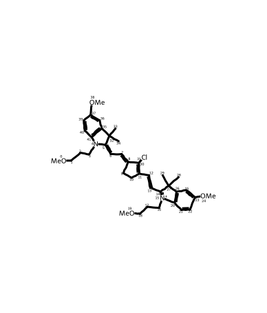 COCCCN1/C(=C/C=C2\CCC(/C=C/C3=[N+](CCCOC)c4ccc(OC)cc4C3(C)C)=C2Cl)C(C)(C)c2cc(OC)ccc21